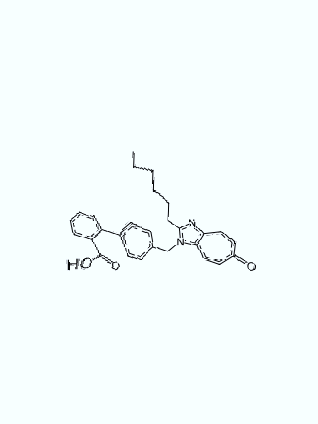 CCCCCCc1nc2ccc(=O)ccc2n1Cc1ccc(-c2ccccc2C(=O)O)cc1